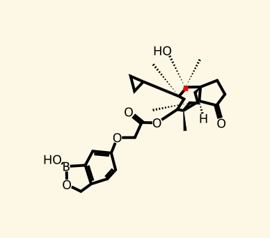 C[C@@H]1CC[C@@]23CCC(=O)[C@H]2[C@]1(C)C(OC(=O)COc1ccc2c(c1)B(O)OC2)C[C@@](C)(C1CC1)[C@@H](O)[C@@H]3C